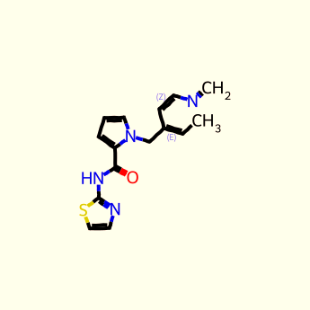 C=N/C=C\C(=C/C)Cn1cccc1C(=O)Nc1nccs1